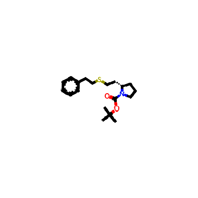 CC(C)(C)OC(=O)N1CCC[C@H]1CCSCCc1ccccc1